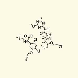 C#CCOc1cc(-n2nc(C(C)(C)C)oc2=O)c(Cl)cc1Cl.COc1nc(C)nc(NC(=O)NS(=O)(=O)c2ccccc2OCCCl)n1